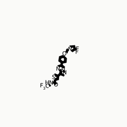 O=C(NCC(F)(F)F)c1cc(-c2cnn3cc(-c4ccc(OCCN5CCC(F)(F)C5)cc4)cnc23)cs1